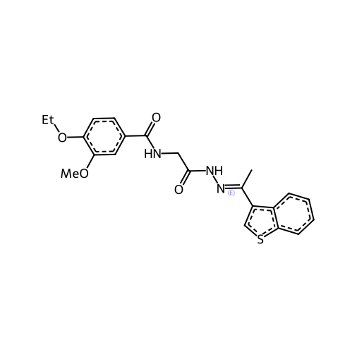 CCOc1ccc(C(=O)NCC(=O)N/N=C(\C)c2csc3ccccc23)cc1OC